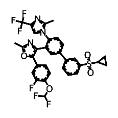 Cc1nc(-c2cc(-c3cccc(S(=O)(=O)C4CC4)c3)ccc2-n2cc(C(F)(F)F)nc2C)c(-c2ccc(OC(F)F)c(F)c2)o1